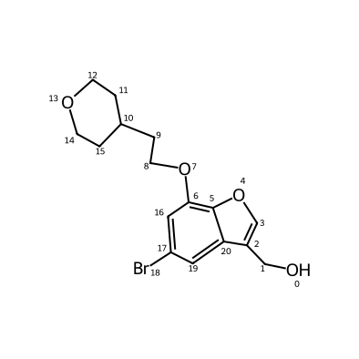 OCc1coc2c(OCCC3CCOCC3)cc(Br)cc12